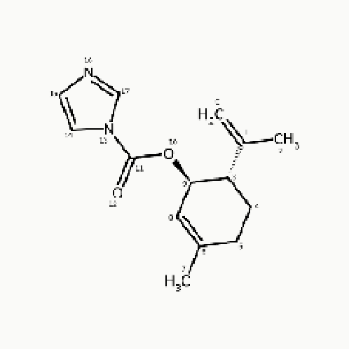 C=C(C)[C@@H]1CCC(C)=C[C@H]1OC(=O)n1ccnc1